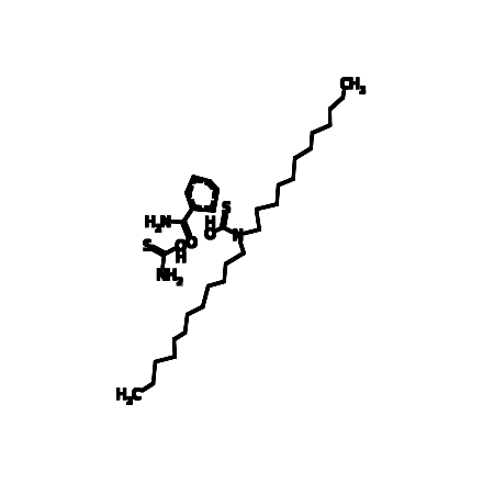 CCCCCCCCCCCCN(CCCCCCCCCCCC)C(O)=S.NC(=O)c1ccccc1.NC(O)=S